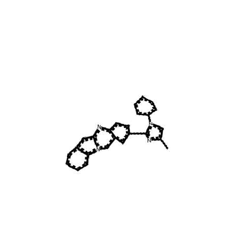 Cc1cn(-c2ccccc2)c(-c2ccc3nc4cc5ccccc5n4cc3c2)n1